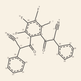 N#CC(C(=O)c1c(F)c(F)c(F)c(F)c1C(=O)C(C#N)c1ccccc1)c1ccccc1